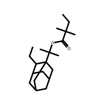 CCC1C2CC3CC(C2)CC1(C(C)(C)OC(=O)C(C)(C)CC)C3